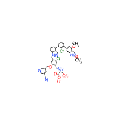 CONCc1ccc(-c2cccc(-c3cccc4c3cnn4Cc3cc(OCc4cncc(C#N)c4)c(CN[C@@H](CO)C(=O)O)cc3Cl)c2Cl)cc1OC